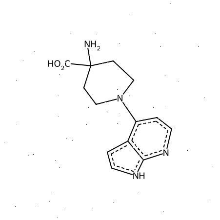 NC1(C(=O)O)CCN(c2ccnc3[nH]ccc23)CC1